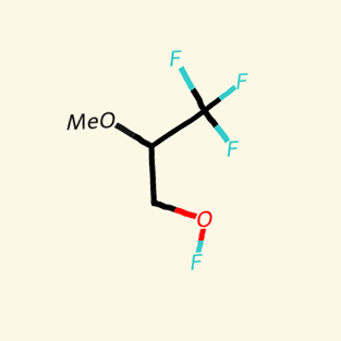 COC(COF)C(F)(F)F